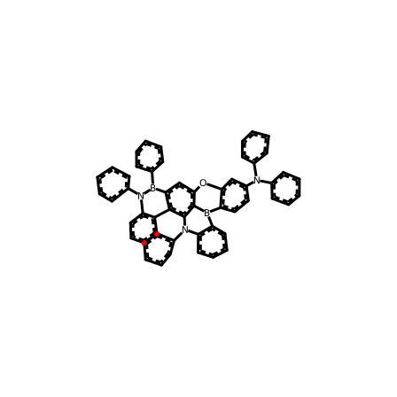 c1ccc(B2c3cc4c5c(c3-c3ccccc3N2c2ccccc2)N(c2ccccc2)c2ccccc2B5c2ccc(N(c3ccccc3)c3ccccc3)cc2O4)cc1